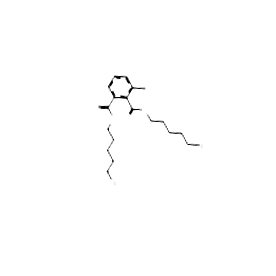 CC(C)CCCCCOC(=O)c1cccc(I)c1C(=O)OCCCCCC(C)C